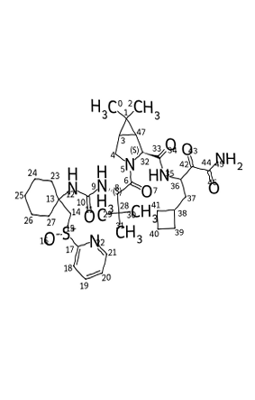 CC1(C)C2CN(C(=O)[C@@H](NC(=O)NC3(C[S+]([O-])c4ccccn4)CCCCC3)C(C)(C)C)[C@H](C(=O)NC(CC3CCC3)C(=O)C(N)=O)C21